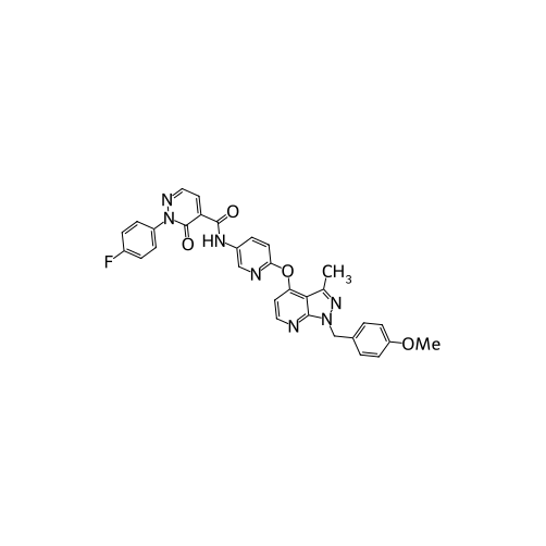 COc1ccc(Cn2nc(C)c3c(Oc4ccc(NC(=O)c5ccnn(-c6ccc(F)cc6)c5=O)cn4)ccnc32)cc1